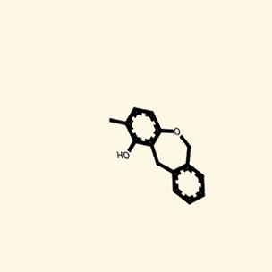 Cc1ccc2c(c1O)Cc1ccccc1CO2